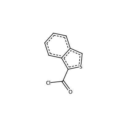 O=C(Cl)c1scc2ccccc12